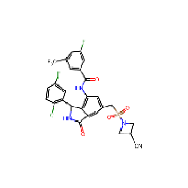 N#CC1CN(S(=O)(=O)Cc2cc(NC(=O)c3cc(F)cc(C(F)(F)F)c3)c3c(c2)C(=O)NC3c2cc(F)ccc2Cl)C1